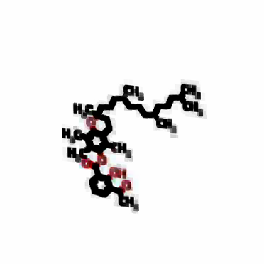 CC(=O)c1cccc(C(=O)Oc2c(C)c(C)c3c(c2C)CC[C@@](C)(CCC[C@H](C)CCC[C@H](C)CCCC(C)C)O3)c1O